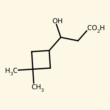 CC1(C)CC(C(O)CC(=O)O)C1